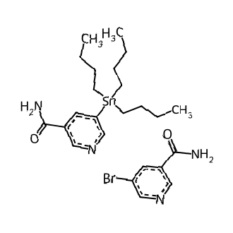 CCC[CH2][Sn]([CH2]CCC)([CH2]CCC)[c]1cncc(C(N)=O)c1.NC(=O)c1cncc(Br)c1